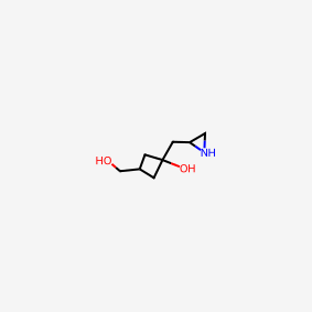 OCC1CC(O)(CC2CN2)C1